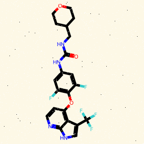 O=C(NCC1CCOCC1)Nc1cc(F)c(Oc2ccnc3[nH]cc(C(F)(F)F)c23)c(F)c1